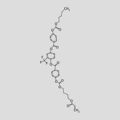 C=CC(=O)OCCCCOC(=O)Oc1ccc(C(=O)Oc2ccc(OC(=O)c3ccc(OC(=O)OCCCCC)cc3)cc2C(F)(F)F)cc1